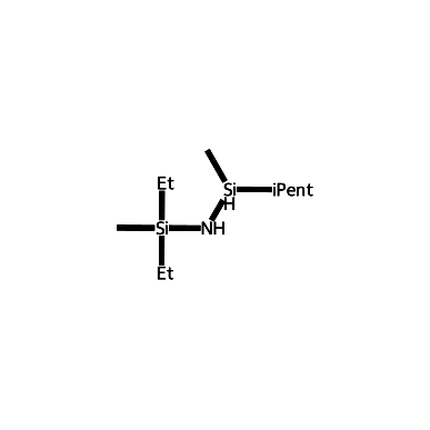 CCCC(C)[SiH](C)N[Si](C)(CC)CC